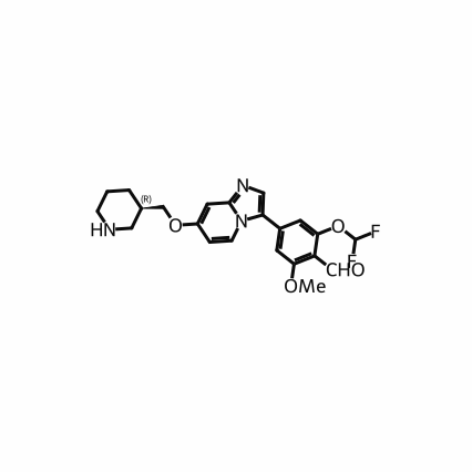 COc1cc(-c2cnc3cc(OC[C@@H]4CCCNC4)ccn23)cc(OC(F)F)c1C=O